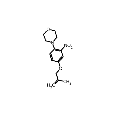 C=C(C)COc1ccc(N2CCOCC2)c([N+](=O)[O-])c1